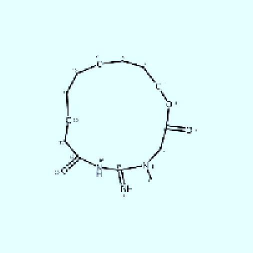 CN1CC(=O)OCCCCCCCCC(=O)NC1=N